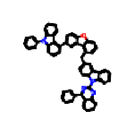 c1ccc(-c2nc(-n3c4ccccc4c4cc(Cc5cccc6oc7ccc(-c8cccc9c8c8ccccc8n9-c8ccccc8)cc7c56)ccc43)nc3ccccc23)cc1